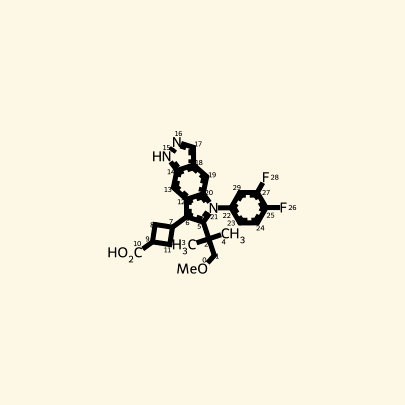 COCC(C)(C)c1c(C2CC(C(=O)O)C2)c2cc3[nH]ncc3cc2n1-c1ccc(F)c(F)c1